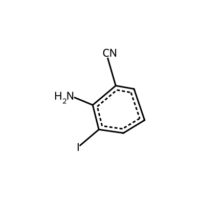 N#Cc1cccc(I)c1N